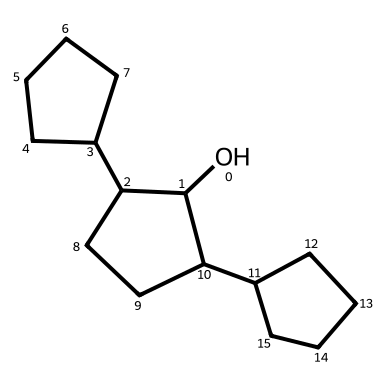 OC1C(C2CCCC2)CCC1C1CCCC1